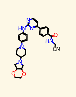 N#CCNC(=O)c1ccc(-c2ccnc(Nc3ccc(N4CCC(N5CC6OCCOC6C5)CC4)cc3)n2)cc1